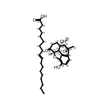 CCCCCCCCC=CCCCCCCCC(=O)O.CN1CC[C@]23c4c5ccc(O)c4O[C@H]2C(=O)CC[C@@]3(O)[C@H]1C5